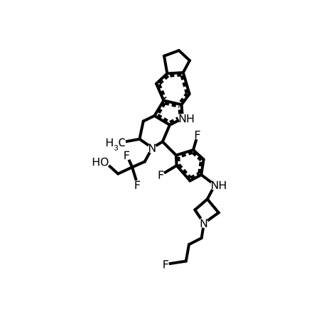 CC1Cc2c([nH]c3cc4c(cc23)CCC4)C(c2c(F)cc(NC3CN(CCCF)C3)cc2F)N1CC(F)(F)CO